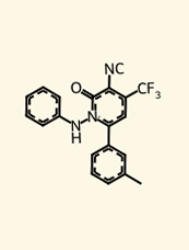 [C-]#[N+]c1c(C(F)(F)F)cc(-c2cccc(C)c2)n(Nc2ccccc2)c1=O